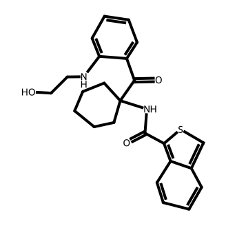 O=C(NC1(C(=O)c2ccccc2NCCO)CCCCC1)c1scc2ccccc12